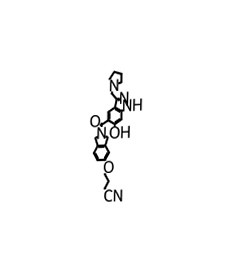 N#CCCCOc1ccc2c(c1)CN(C(=O)c1cc3c(CN4CCCC4)n[nH]c3cc1O)C2